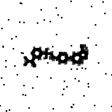 CN(C)C(=O)c1cccc(C(C)(C)CNc2ccc(-c3c[nH]c4nnc(N)c-4c3)nn2)c1